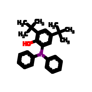 CC(C)(C)c1cc(P(c2ccccc2)c2ccccc2)c(O)c(C(C)(C)C)c1